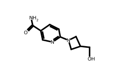 NC(=O)c1ccc(N2CC(CO)C2)nc1